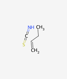 C=CCC.N=C=S